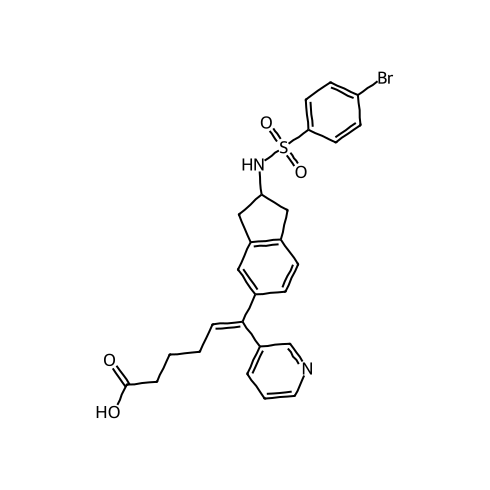 O=C(O)CCCC=C(c1cccnc1)c1ccc2c(c1)CC(NS(=O)(=O)c1ccc(Br)cc1)C2